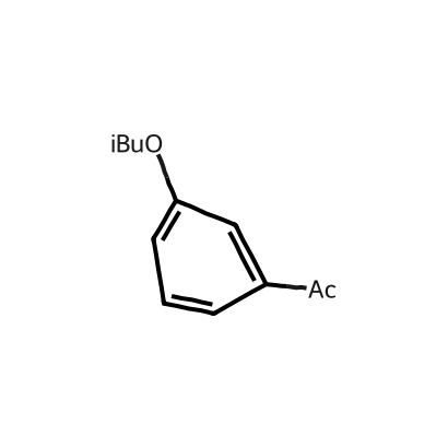 CC(=O)c1cccc(OCC(C)C)c1